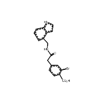 O=C(Cc1ccc(C(=O)O)c(Br)c1)NCc1cccc2[nH]ccc12